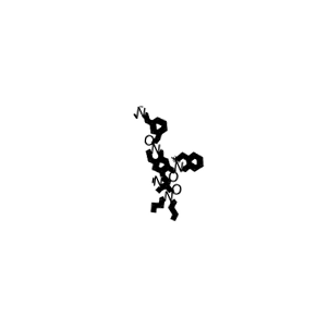 CCCCN(CCCC)C(=O)c1cc(-c2cc3c(cc2C(=O)N2Cc4ccccc4C[C@H]2C)CN(C(=O)Cc2cccc(CCN(C)C)c2)CC3)n(C)c1C